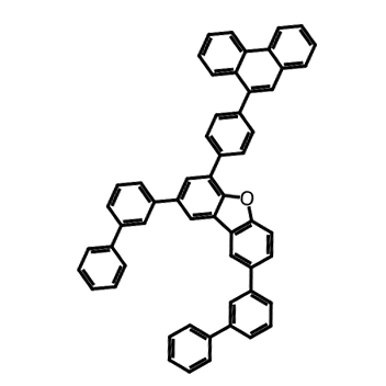 c1ccc(-c2cccc(-c3ccc4oc5c(-c6ccc(-c7cc8ccccc8c8ccccc78)cc6)cc(-c6cccc(-c7ccccc7)c6)cc5c4c3)c2)cc1